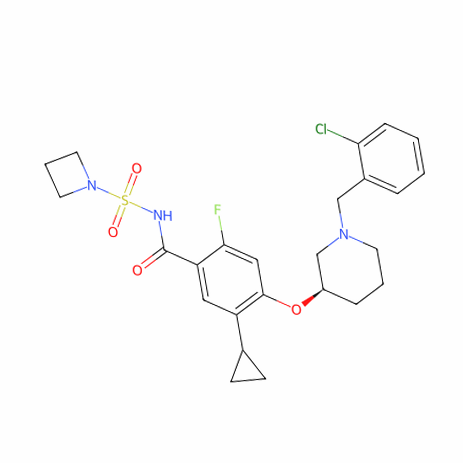 O=C(NS(=O)(=O)N1CCC1)c1cc(C2CC2)c(O[C@@H]2CCCN(Cc3ccccc3Cl)C2)cc1F